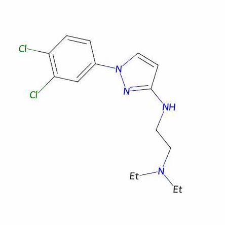 CCN(CC)CCNc1ccn(-c2ccc(Cl)c(Cl)c2)n1